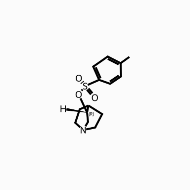 Cc1ccc(S(=O)(=O)O[C@H]2CN3CCC2CC3)cc1